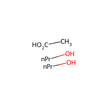 CC(=O)O.CCCO.CCCO